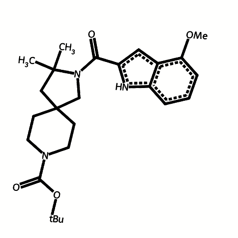 COc1cccc2[nH]c(C(=O)N3CC4(CCN(C(=O)OC(C)(C)C)CC4)CC3(C)C)cc12